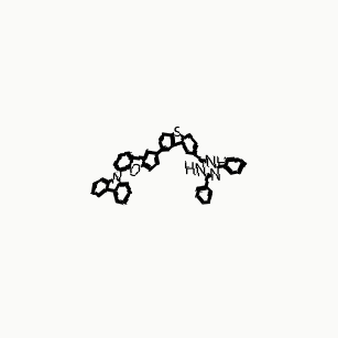 c1ccc(C2=NC(c3ccccc3)NC(c3ccc4sc5ccc(-c6ccc7oc8c(-n9c%10ccccc%10c%10ccccc%109)cccc8c7c6)cc5c4c3)N2)cc1